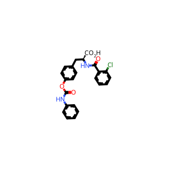 O=C(Nc1ccccc1)Oc1ccc(C[C@H](NC(=O)c2ccccc2Cl)C(=O)O)cc1